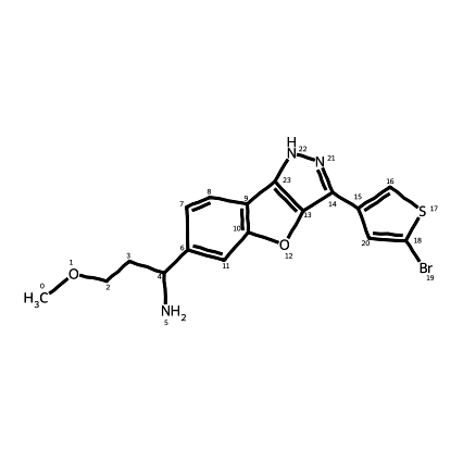 COCCC(N)c1ccc2c(c1)oc1c(-c3csc(Br)c3)n[nH]c12